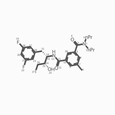 CCCN(CCC)C(=O)c1cc(C)cc(C(=O)N[C@@H](Cc2cc(F)cc(F)c2)[C@H](O)CI)c1